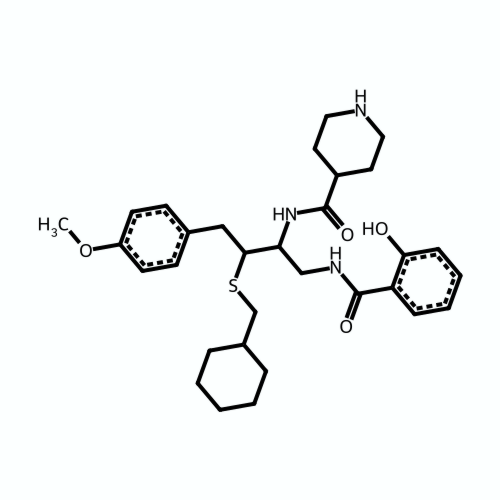 COc1ccc(CC(SCC2CCCCC2)C(CNC(=O)c2ccccc2O)NC(=O)C2CCNCC2)cc1